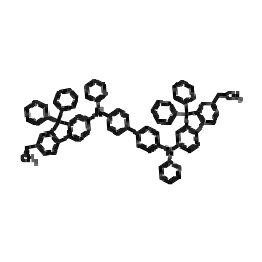 C=Cc1ccc2c(c1)C(c1ccccc1)(c1ccccc1)c1cc(N(c3ccccc3)c3ccc(-c4ccc(N(c5ccccc5)c5ccc6c(c5)C(c5ccccc5)(c5ccccc5)c5cc(C=C)ccc5-6)cc4)cc3)ccc1-2